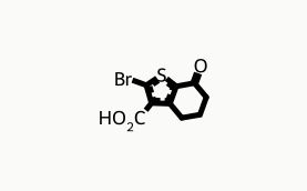 O=C1CCCc2c1sc(Br)c2C(=O)O